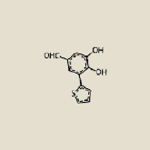 O=Cc1cc(O)c(O)c(-c2cccs2)c1